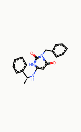 C[C@H](Nc1cc(=O)n(Cc2ccccc2)c(=O)[nH]1)c1ccccc1